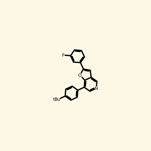 CC(C)(C)c1ccc(-c2cncc3cc(-c4cccc(F)c4)oc23)cc1